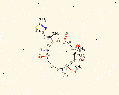 C/C(=C\c1csc(C)n1)C1CC(I)[C@H](O)CCCC(C)[C@H](O)[C@@H](C)C(=O)C(C)(C)[C@@H](O)CC(=O)O1